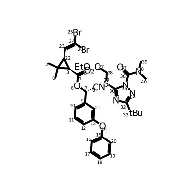 CC1(C)[C@H](C(=O)O[C@H](C#N)c2cccc(Oc3ccccc3)c2)[C@@H]1C=C(Br)Br.CCOC(=O)CSc1nc(C(C)(C)C)nn1C(=O)N(C)C